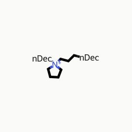 CCCCCCCCCCCCC[N+]1(CCCCCCCCCC)CCCC1